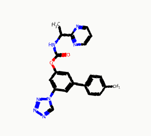 Cc1ccc(-c2cc(OC(=O)NC(C)c3ncccn3)cc(-n3cnnn3)c2)cc1